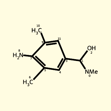 CNC(O)c1cc(C)c(N)c(C)c1